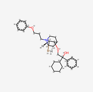 OC(CO[C@@H]1C2CC[N+](CCCOc3ccccc3)(CC2)[C@H]1Br)(c1ccccc1)C1CCCCC1